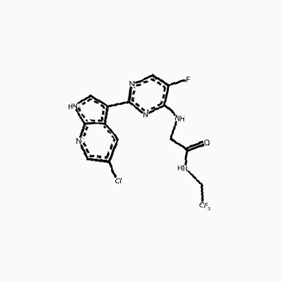 O=C(CNc1nc(-c2c[nH]c3ncc(Cl)cc23)ncc1F)NCC(F)(F)F